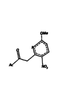 COc1ccc([N+](=O)[O-])c(CC(=O)C(C)=O)n1